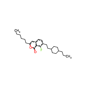 CCCCCCc1cc2ccc(CCC3CCC(CCC)CC3)c(F)c2c(=O)o1